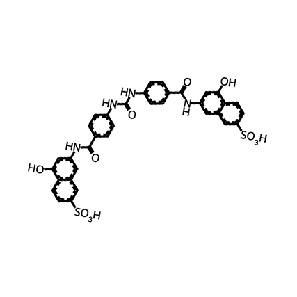 O=C(Nc1ccc(C(=O)Nc2cc(O)c3ccc(S(=O)(=O)O)cc3c2)cc1)Nc1ccc(C(=O)Nc2cc(O)c3ccc(S(=O)(=O)O)cc3c2)cc1